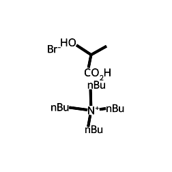 CC(O)C(=O)O.CCCC[N+](CCCC)(CCCC)CCCC.[Br-]